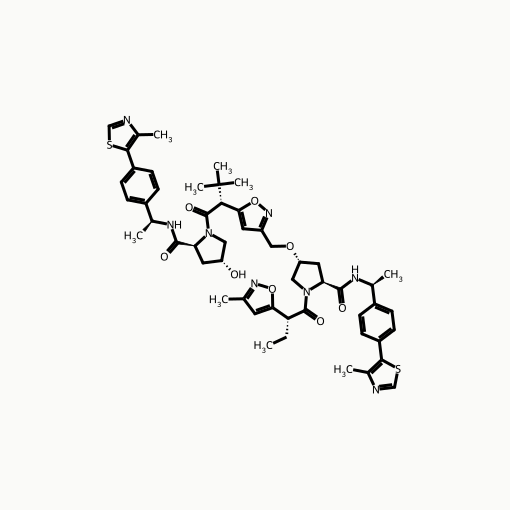 CC[C@@H](C(=O)N1C[C@H](OCc2cc([C@H](C(=O)N3C[C@H](O)C[C@H]3C(=O)N[C@@H](C)c3ccc(-c4scnc4C)cc3)C(C)(C)C)on2)C[C@H]1C(=O)N[C@@H](C)c1ccc(-c2scnc2C)cc1)c1cc(C)no1